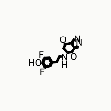 O=C1CC(NCCc2cc(F)c(O)c(F)c2)C(=O)c2cnncc21